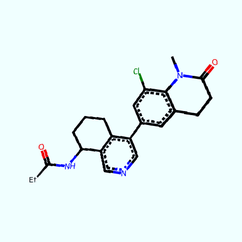 CCC(=O)NC1CCCc2c(-c3cc(Cl)c4c(c3)CCC(=O)N4C)cncc21